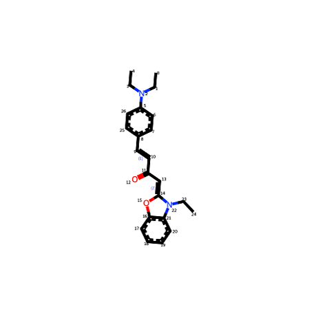 CCN(CC)c1ccc(/C=C/C(=O)/C=C2\Oc3ccccc3N2CC)cc1